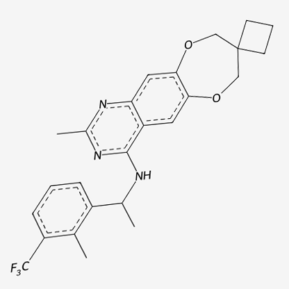 Cc1nc(NC(C)c2cccc(C(F)(F)F)c2C)c2cc3c(cc2n1)OCC1(CCC1)CO3